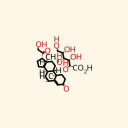 C[C@]12CC[C@H]3[C@@H](CCC4=CC(=O)CC[C@@]43C)[C@@H]1CC[C@@H]2C(=O)CO.O=C(O)[C@H](O)[C@@H](O)[C@H](O)[C@H](O)CO